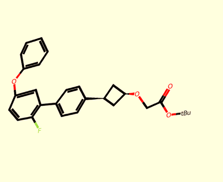 CC(C)(C)OC(=O)CO[C@H]1C[C@@H](c2ccc(-c3cc(Oc4ccccc4)ccc3F)cc2)C1